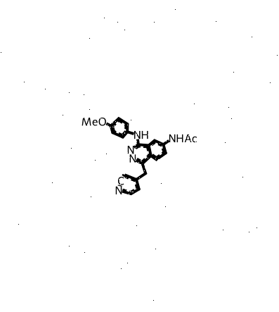 COc1ccc(Nc2nnc(Cc3ccncc3)c3ccc(NC(C)=O)cc23)cc1